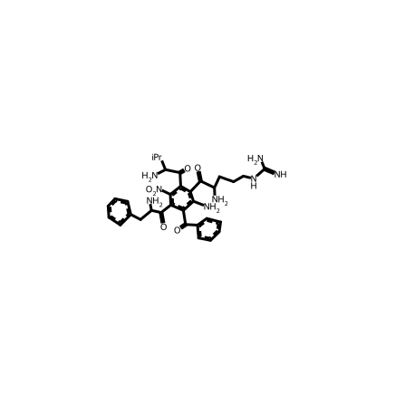 CC(C)C(N)C(=O)c1c(C(=O)C(N)CCCNC(=N)N)c(N)c(C(=O)c2ccccc2)c(C(=O)C(N)Cc2ccccc2)c1[N+](=O)[O-]